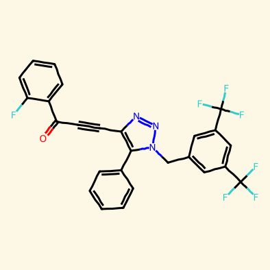 O=C(C#Cc1nnn(Cc2cc(C(F)(F)F)cc(C(F)(F)F)c2)c1-c1ccccc1)c1ccccc1F